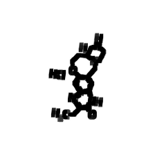 CCc1nc2cc3c(cc2[nH]c1=O)CN1CCNC[C@@H]1CCO3.Cl